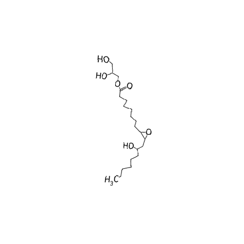 CCCCCCC(O)CC1OC1CCCCCCCC(=O)OCC(O)CO